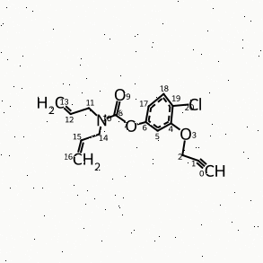 C#CCOc1cc(OC(=O)N(CC=C)CC=C)ccc1Cl